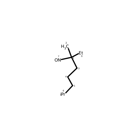 CCC(C)(CCCC(C)C)N=O